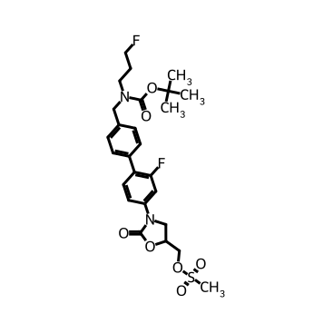 CC(C)(C)OC(=O)N(CCCF)Cc1ccc(-c2ccc(N3CC(COS(C)(=O)=O)OC3=O)cc2F)cc1